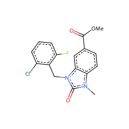 COC(=O)c1ccc2c(c1)n(Cc1c(F)cccc1Cl)c(=O)n2C